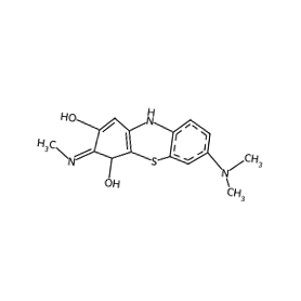 CN=C1C(O)=CC2=C(Sc3cc(N(C)C)ccc3N2)C1O